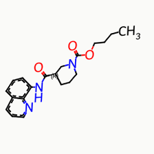 CCCCOC(=O)N1CCC[C@@H](C(=O)Nc2cccc3cccnc23)C1